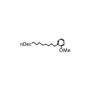 CCCCCCCCCCCCCCCCCCc1ccccc1OC